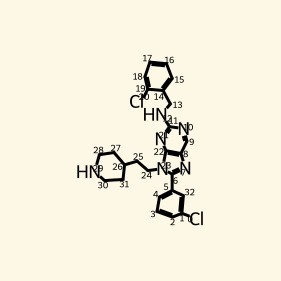 Clc1cccc(-c2nc3cnc(NCc4ccccc4Cl)nc3n2CCC2CCNCC2)c1